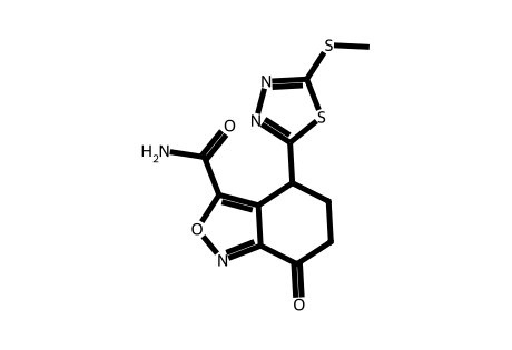 CSc1nnc(C2CCC(=O)c3noc(C(N)=O)c32)s1